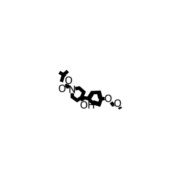 COCOc1ccc(C2(O)CCN(C(=O)OC(C)(C)C)CC2)cc1